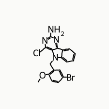 COc1ccc(Br)cc1Cn1c2ccccc2c2nc(N)nc(Cl)c21